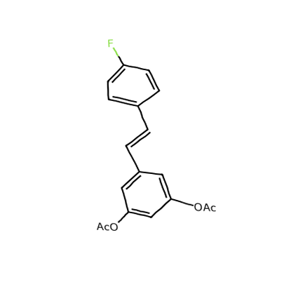 CC(=O)Oc1cc(/C=C/c2ccc(F)cc2)cc(OC(C)=O)c1